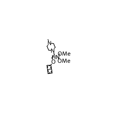 CN1CCN(CCOc2cc3ccc2-3)CC1.CONOC